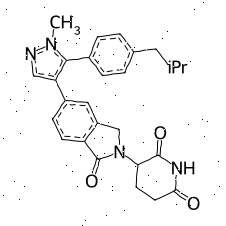 CC(C)Cc1ccc(-c2c(-c3ccc4c(c3)CN(C3CCC(=O)NC3=O)C4=O)cnn2C)cc1